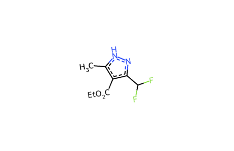 CCOC(=O)c1c(C(F)F)n[nH]c1C